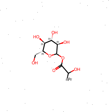 CCCC(O)C(=O)OC1O[C@H](CO)[C@@H](O)[C@H](O)[C@H]1O